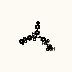 Cc1cccc2nc(-c3ccc(NC(=O)[C@@H](CCc4ccc(C(=O)NCCS(=O)(=O)O)cc4)c4ccc(-c5ccc(C(C)(C)C)cc5)cc4)cc3)oc12